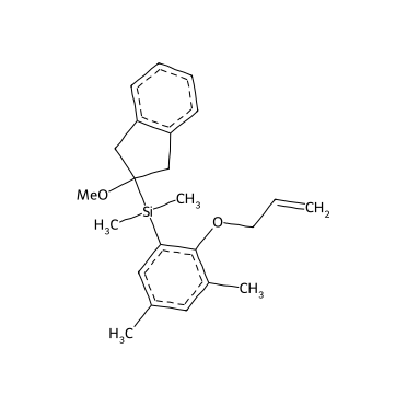 C=CCOc1c(C)cc(C)cc1[Si](C)(C)C1(OC)Cc2ccccc2C1